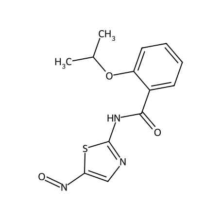 CC(C)Oc1ccccc1C(=O)Nc1ncc(N=O)s1